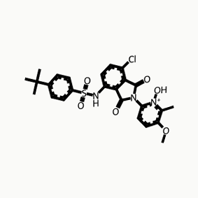 COc1ccc(N2C(=O)c3c(Cl)ccc(NS(=O)(=O)c4ccc(C(C)(C)C)cc4)c3C2=O)[n+](O)c1C